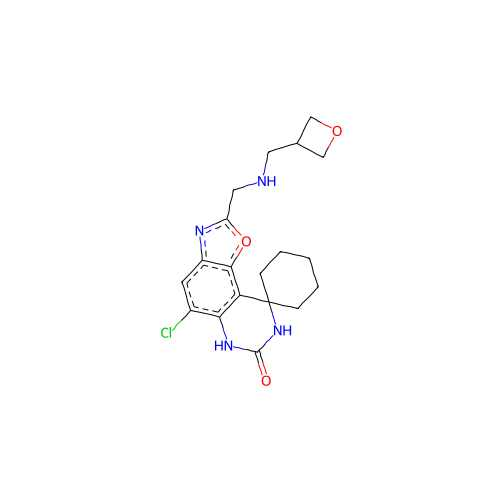 O=C1Nc2c(Cl)cc3nc(CNCC4COC4)oc3c2C2(CCCCC2)N1